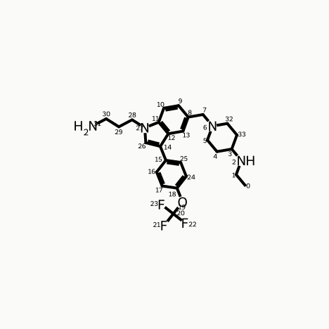 CCNC1CCN(Cc2ccc3c(c2)c(-c2ccc(OC(F)(F)F)cc2)cn3CCCN)CC1